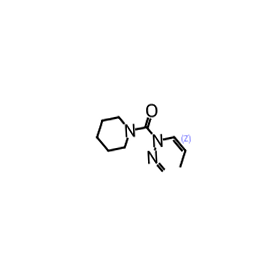 C=NN(/C=C\C)C(=O)N1CCCCC1